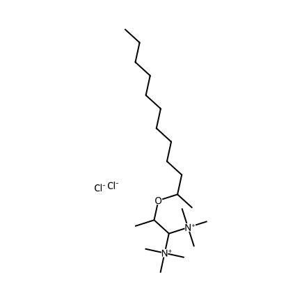 CCCCCCCCCCC(C)OC(C)C([N+](C)(C)C)[N+](C)(C)C.[Cl-].[Cl-]